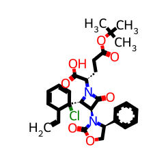 C=CC1C=CC=CC1(Cl)[C@H]1[C@H](N2C(=O)OC[C@@H]2c2ccccc2)C(=O)N1[C@@H](CCC(=O)OC(C)(C)C)C(=O)O